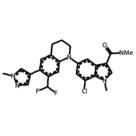 CNC(=O)c1cn(C)c2c(Cl)cc(N3CCCc4cc(-c5cnn(C)c5)c(C(F)F)cc43)cc12